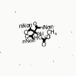 CCCCCCCCCC(=O)C(P)(C(=O)CCCCCCCCC)C(=O)CCCCCCCCC.COC(=O)O